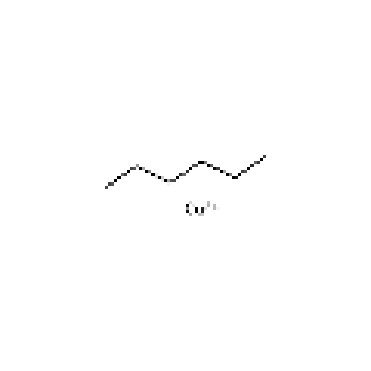 CCCCCC.[Cu+2]